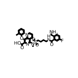 Cc1ccccc1Oc1c(C(=O)O)nc(N(C)S(=O)(=O)CCCCNC(=O)c2cc(F)ccc2CN)c2cccnc12